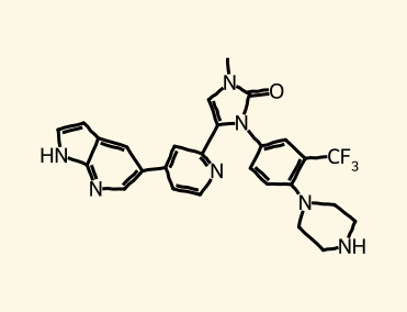 Cn1cc(-c2cc(-c3cnc4[nH]ccc4c3)ccn2)n(-c2ccc(N3CCNCC3)c(C(F)(F)F)c2)c1=O